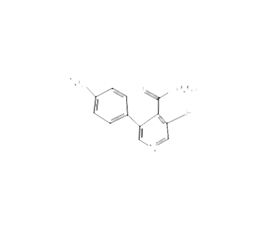 COC(=O)c1c(F)cncc1-c1ccc(C#N)cc1